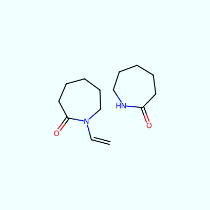 C=CN1CCCCCC1=O.O=C1CCCCCN1